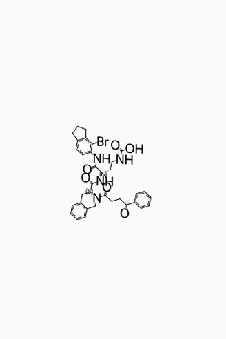 O=C(O)NCC[C@H](NC(=O)[C@@H]1Cc2ccccc2CN1C(=O)CCC(=O)c1ccccc1)C(=O)Nc1ccc2c(c1Br)CCC2